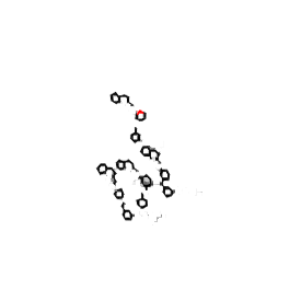 CC(=O)NC(c1cccc(OCc2ccc3ccccc3n2)c1)c1cccc(C(=O)O)c1.O=C(O)c1ccc(CSc2cccc(OCc3ccc4ccccc4n3)c2)cc1.O=C(O)c1cccc(CSc2ccc(OCc3ccc4ccccc4n3)cc2)c1.O=C(O)c1cccc(CSc2cccc(OCc3ccc4ccccc4n3)c2)c1